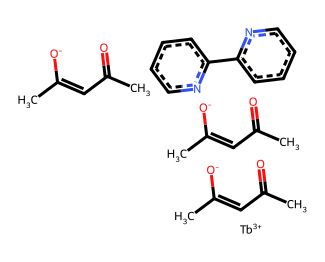 CC(=O)/C=C(/C)[O-].CC(=O)/C=C(/C)[O-].CC(=O)/C=C(/C)[O-].[Tb+3].c1ccc(-c2ccccn2)nc1